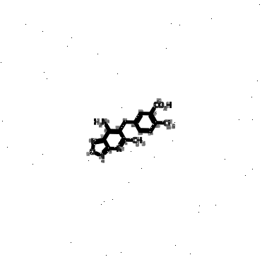 Cc1nc2nonc2c(N)c1Cc1ccc(C(F)(F)F)c(C(=O)O)c1